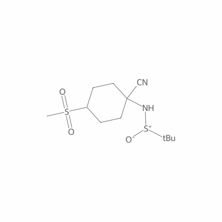 CC(C)(C)[S+]([O-])NC1(C#N)CCC(S(C)(=O)=O)CC1